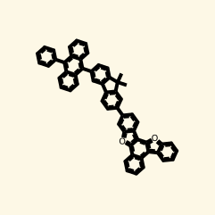 CC1(C)c2ccc(-c3c4ccccc4c(-c4ccccc4)c4ccccc34)cc2-c2ccc(-c3ccc4c(c3)oc3c5ccccc5c5c6ccccc6oc5c43)cc21